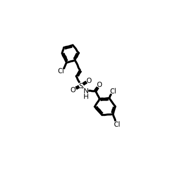 O=C(NS(=O)(=O)/C=C/c1ccccc1Cl)c1ccc(Cl)cc1Cl